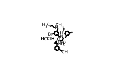 C#Cc1cccc(C2(NC[C@@H](O)[C@H](Cc3cc(F)cc(F)c3)NC(=O)c3cc(Br)cc(CN(C)CCCC)c3)CC2)c1.Cl.Cl